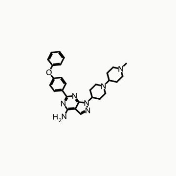 CN1CCC(N2CCC(n3ncc4c(N)nc(-c5ccc(Oc6ccccc6)cc5)nc43)CC2)CC1